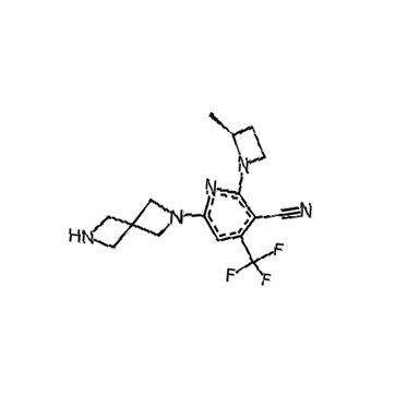 C[C@H]1CCN1c1nc(N2CC3(CNC3)C2)cc(C(F)(F)F)c1C#N